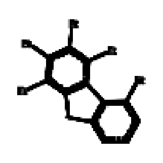 CCc1cccc2c1-c1c(c(CC)c(CC)c(CC)c1CC)[CH]2